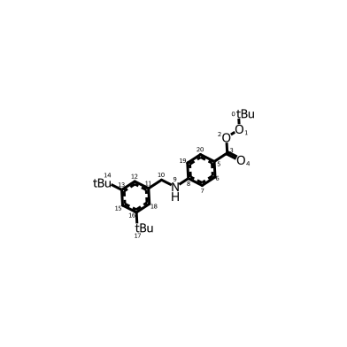 CC(C)(C)OOC(=O)c1ccc(NCc2cc(C(C)(C)C)cc(C(C)(C)C)c2)cc1